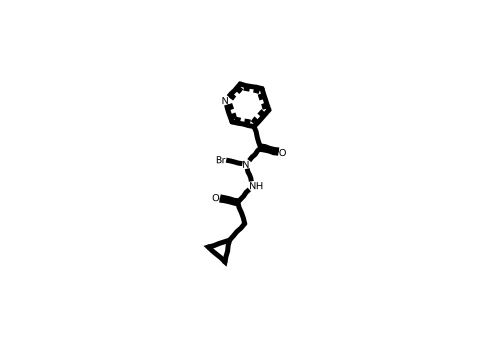 O=C(CC1CC1)NN(Br)C(=O)c1cccnc1